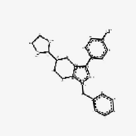 Clc1ccc(-c2nn(Cc3ccccc3)c3c2CC(C2OCCO2)CC3)cc1